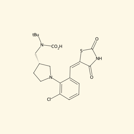 CC(C)(C)N(C[C@H]1CCN(c2c(Cl)cccc2C=C2SC(=O)NC2=O)C1)C(=O)O